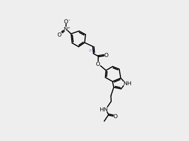 CC(=O)NCCc1c[nH]c2ccc(OC(=O)/C=C/c3ccc([N+](=O)[O-])cc3)cc12